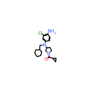 Nc1ccc(N(CC2CCCCC2)[C@H]2CCN(C(=O)C3CC3)C2)cc1Cl